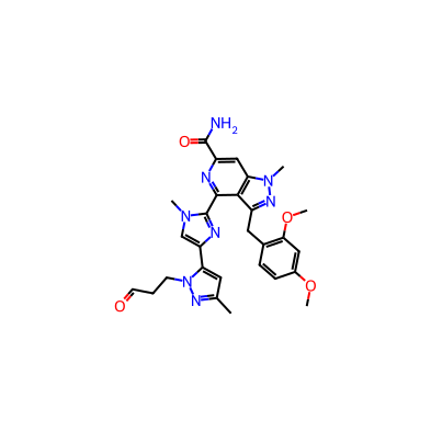 COc1ccc(Cc2nn(C)c3cc(C(N)=O)nc(-c4nc(-c5cc(C)nn5CCC=O)cn4C)c23)c(OC)c1